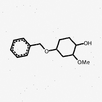 COC1CC(OCc2ccccc2)CCC1O